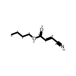 CCCCOC(=O)C=CC#N